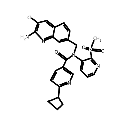 CS(=O)(=O)c1ncccc1N(Cc1ccc2cc(Cl)c(N)nc2c1)C(=O)c1ccc(C2CCC2)nc1